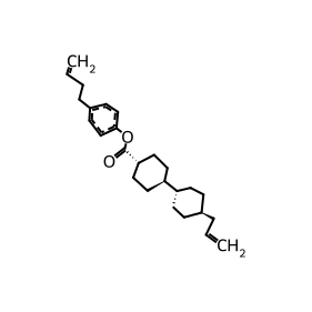 C=CCCc1ccc(OC(=O)[C@H]2CC[C@H]([C@H]3CC[C@H](CC=C)CC3)CC2)cc1